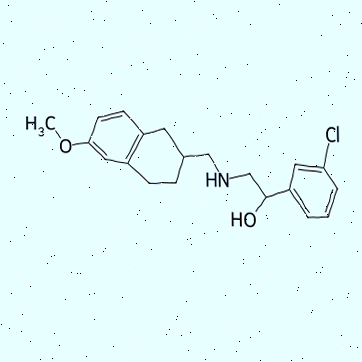 COc1ccc2c(c1)CCC(CNCC(O)c1cccc(Cl)c1)C2